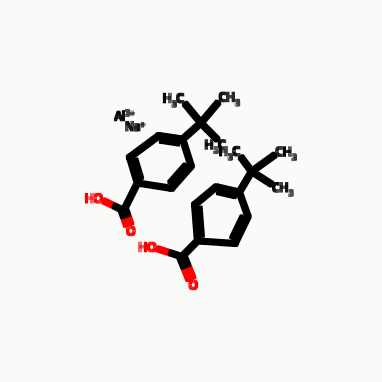 CC(C)(C)c1ccc(C(=O)O)cc1.CC(C)(C)c1ccc(C(=O)O)cc1.[Al+3].[Na+]